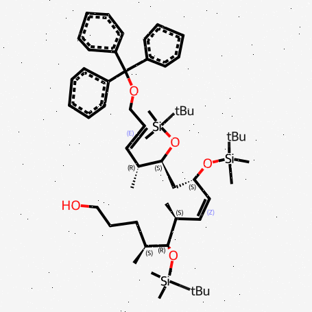 C[C@H](/C=C/COC(c1ccccc1)(c1ccccc1)c1ccccc1)[C@H](C[C@@H](/C=C\[C@H](C)[C@H](O[Si](C)(C)C(C)(C)C)[C@@H](C)CCCO)O[Si](C)(C)C(C)(C)C)O[Si](C)(C)C(C)(C)C